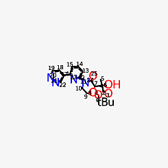 CC(C)(C)OC(=O)C(C)(O)C1OCCN(c2cccc(-c3ccnnc3)n2)C1=O